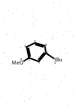 COc1c[c][c]c(C(C)(C)C)c1